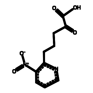 O=C(O)C(=O)CCCc1ncccc1[N+](=O)[O-]